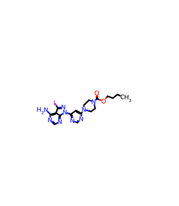 CCCCOC(=O)N1CCN(c2cc(-n3nc(I)c4c(N)ncnc43)ncn2)CC1